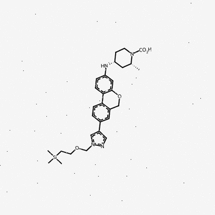 C[C@@H]1C[C@H](Nc2ccc3c(c2)OCc2cc(-c4cnn(COCC[Si](C)(C)C)c4)ccc2-3)CCN1C(=O)O